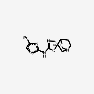 CC(C)c1csc(NC2=NC[C@]3(CN4CCC3CC4)O2)n1